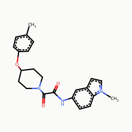 Cc1ccc(OC2CCN(C(=O)C(=O)Nc3ccc4c(ccn4C)c3)CC2)cc1